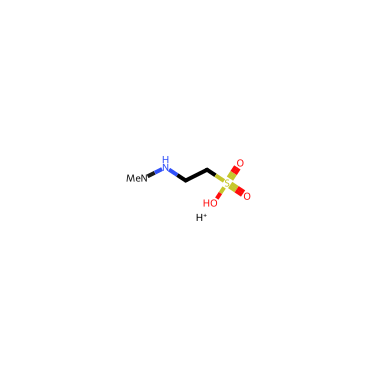 CNNCCS(=O)(=O)O.[H+]